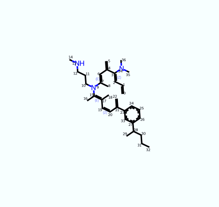 C=C/C=C(/C(=C)/C=C(\C)N(CCCNC)/C(C)=C(C)/C=C\C(=C)c1cccc(C(C)CCC)c1)N(C)C